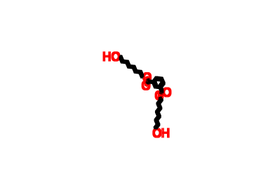 O=C(OCCCCCCCCO)c1cccc(C(=O)OCCCCCCCCO)c1